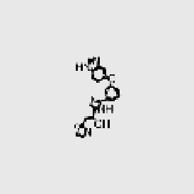 OC(Cc1nccs1)c1cnc(-c2cccc(Oc3ccc4[nH]cnc4c3)c2)[nH]1